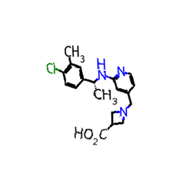 Cc1cc([C@@H](C)Nc2cc(CN3CC(C(=O)O)C3)ccn2)ccc1Cl